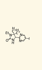 CCN1C(=O)NC(c2ncc(I)cn2)C1(C)C